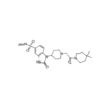 CNS(=O)(=O)c1ccc2c(c1)[nH]c(=O)n2C1CCN(CC(=O)N2CCC(C)(C)CC2)CC1